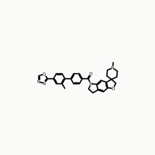 Cc1cc(-c2nnco2)ccc1-c1ccc(C(=O)N2CCc3cc4c(cc32)C2(CCN(C)CC2)CO4)cc1